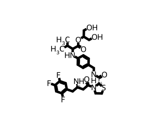 CC(C)C(Nc1ccc(CNC(=O)[C@@H]2SCCN2C(=O)C[C@H](N)Cc2cc(F)c(F)cc2F)cc1)C(=O)OC(CO)CO